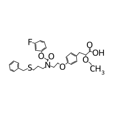 CCOC(Cc1ccc(OCCN(CCCSCc2ccccc2)C(=O)Oc2cccc(F)c2)cc1)C(=O)O